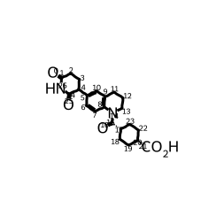 O=C1CCC(c2ccc3c(c2)CCCN3C(=O)[C@H]2CC[C@H](C(=O)O)CC2)C(=O)N1